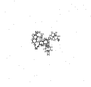 Cc1c(-c2c(F)ccc3oc(N)c(C4CC4)c23)c(C#N)nc2c(N3C4CCC3CNC4)nc(OC[C@@]34CCCN3C[C@H](F)C4)nc12